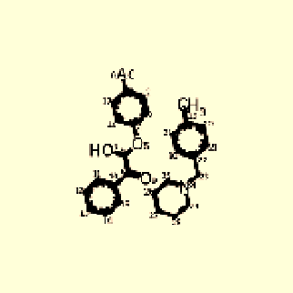 CC(=O)c1ccc(OC(O)C(=O)c2ccccc2)cc1.Cc1ccc(CN2CCCCC2)cc1